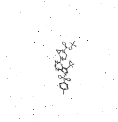 Cc1ccc(S(=O)(=O)n2cc(C3CC3)c3c(N4CCN(C(=O)OC(C)(C)C)C5CC54)ncnc32)cc1